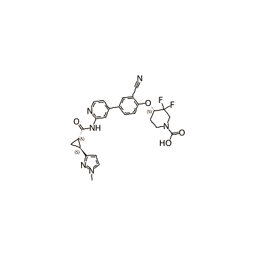 Cn1ccc([C@H]2C[C@@H]2C(=O)Nc2cc(-c3ccc(O[C@H]4CCN(C(=O)O)CC4(F)F)c(C#N)c3)ccn2)n1